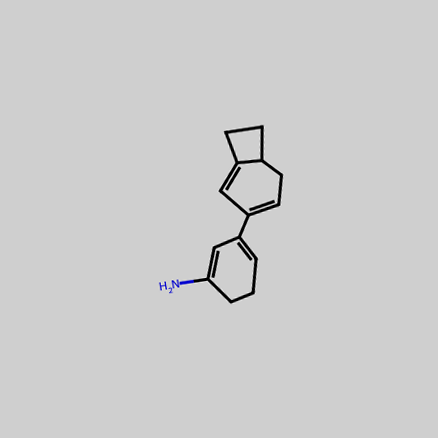 NC1=CC(C2=CCC3CCC3=C2)=CCC1